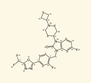 O=c1n(Cc2ccc(-c3nnc(C(F)F)o3)cc2F)c2cc(F)ccc2n1C1CCN(C2CCC2)CC1